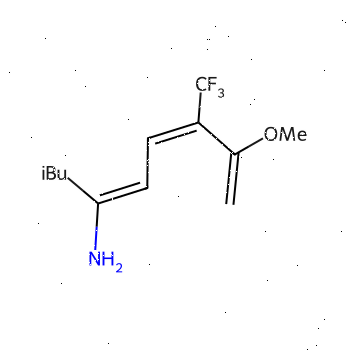 C=C(OC)/C(=C\C=C(\N)C(C)CC)C(F)(F)F